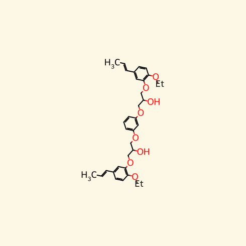 C/C=C/c1ccc(OCC)c(OCC(O)COc2cccc(OCC(O)COc3cc(/C=C/C)ccc3OCC)c2)c1